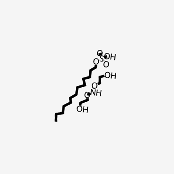 CCCCCCCCCCCCCOS(=O)(=O)O.OCCONOCCO